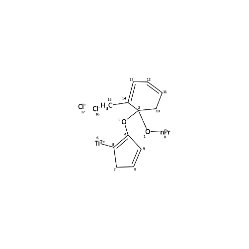 CCCOC1(OC2=[C]([Ti+2])CC=C2)CC=CC=C1C.[Cl-].[Cl-]